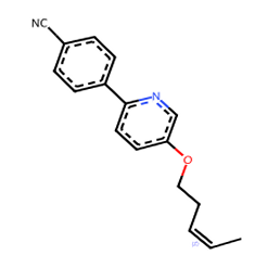 C/C=C\CCOc1ccc(-c2ccc(C#N)cc2)nc1